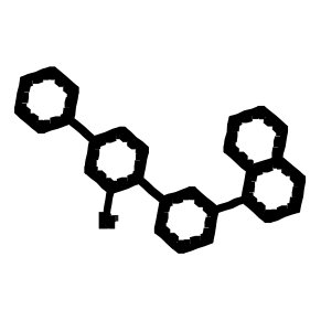 Brc1cc(-c2ccccc2)ccc1-c1cccc(-c2cccc3ccccc23)c1